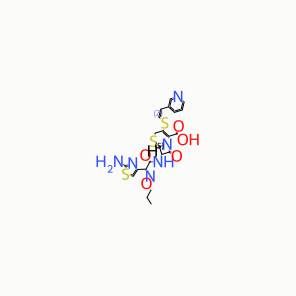 CCCON=C(C(=O)NC1C(=O)N2C(C(=O)O)=C(S/C=C\c3cccnc3)CS[C@@H]12)c1csc(N)n1